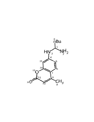 CCCCC(N)Nc1ccc2c(C)cc(=O)oc2c1